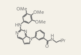 COc1cc(Nc2ncc3ccn(-c4cccc(C(=O)NCC(C)C)c4)c3n2)cc(OC)c1OC